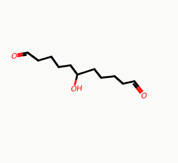 O=CCCCCC(O)CCCCC=O